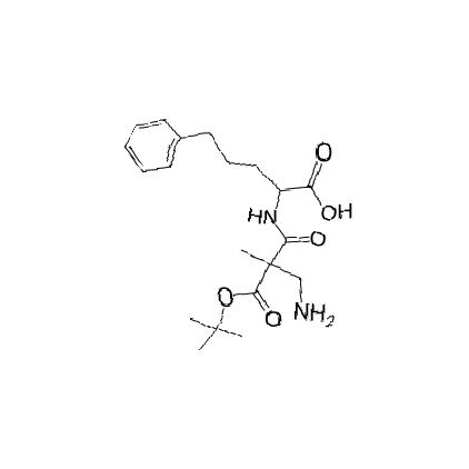 CC(C)(C)OC(=O)C(C)(CN)C(=O)NC(CCCc1ccccc1)C(=O)O